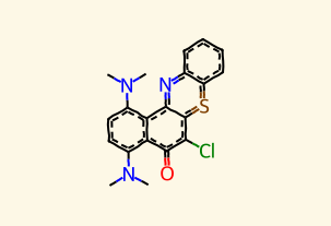 CN(C)c1ccc(N(C)C)c2c(=O)c(Cl)c3sc4ccccc4nc-3c12